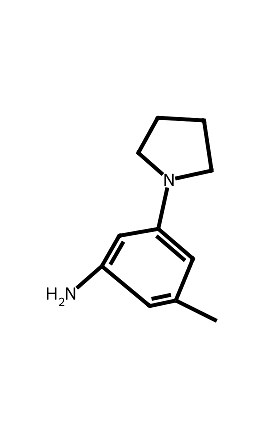 Cc1cc(N)cc(N2CCCC2)c1